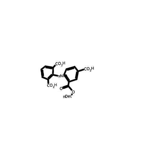 CCCCCCCCCCOC(=O)c1cccc(C(=O)O)c1.CCCCCCCCCc1c(C(=O)O)cccc1C(=O)O